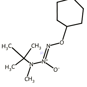 CN(/[N+]([O-])=N/OC1CCCCC1)C(C)(C)C